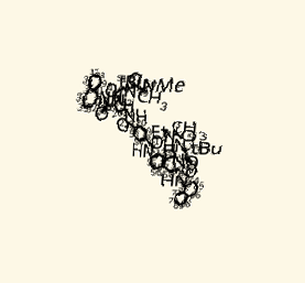 CCN[C@@H](C)C(=O)N[C@H](C(=O)N1Cc2cc(NC(=O)c3ccc(C(=O)N[C@H]4C[C@@H](C(=O)N[C@@H]5CCCc6ccccc65)N(C(=O)C(NC(=O)[C@H](C)NC)C(C)(C)C)C4)cc3)ccc2C[C@H]1C(=O)N[C@@H]1CCCc2ccccc21)C(C)(C)C